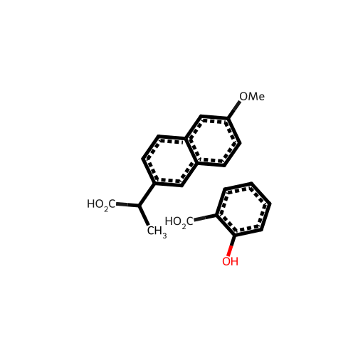 COc1ccc2cc(C(C)C(=O)O)ccc2c1.O=C(O)c1ccccc1O